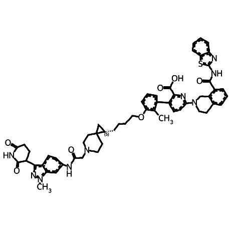 Cc1c(OCCCC[C@H]2CC23CCN(CC(=O)Nc2ccc4c(C5CCC(=O)NC5=O)nn(C)c4c2)CC3)cccc1-c1ccc(N2CCc3cccc(C(=O)Nc4nc5ccccc5s4)c3C2)nc1C(=O)O